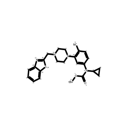 CC(C)(C)OC(=O)N(c1ccc(C#N)c(N2CCN(Cc3nc4ccccc4s3)CC2)c1)C1CC1